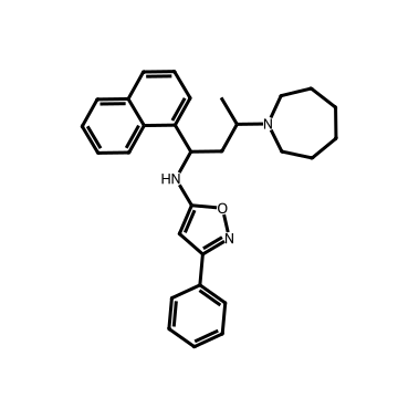 CC(CC(Nc1cc(-c2ccccc2)no1)c1cccc2ccccc12)N1CCCCCC1